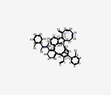 C=Cc1c(-c2ccccc2C)cc2c(C)c1c1c(c3cccc4c5c(n2c43)C/C=C\C=C/C5=C)=C(/C(C)=C(\C)c2ccccc2C)CCC=1